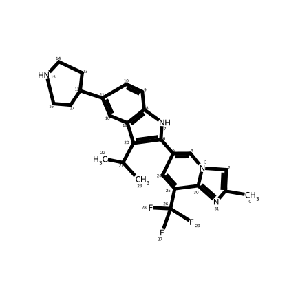 Cc1cn2cc(-c3[nH]c4ccc(C5CCNCC5)cc4c3C(C)C)cc(C(F)(F)F)c2n1